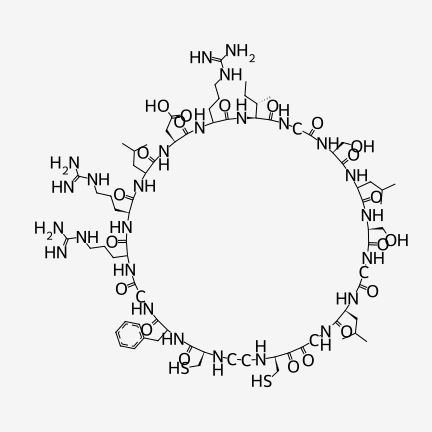 CC[C@H](C)[C@@H]1NC(=O)C(CCCNC(=N)N)NC(=O)[C@H](CC(=O)O)NC(=O)C(CC(C)C)NC(=O)[C@H](CCCNC(=N)N)NC(=O)C(CCCNC(=N)N)NC(=O)CNC(=O)C(Cc2ccccc2)NC(=O)[C@H](CS)NCCN[C@H](CS)C(=O)C(=O)CNC(=O)[C@H](CC(C)C)NC(=O)CNC(=O)[C@H](CO)NC(=O)C(CC(C)C)NC(=O)[C@H](CO)NC(=O)CNC1=O